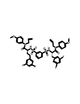 C=CCN(C(=O)[C@H](CCc1cc(F)cc(F)c1)NS(=O)(=O)c1cccc(S(=O)(=O)N[C@@H](Cc2cc(F)cc(F)c2)C(=O)N(CC=C)c2ccc(OC)cc2)c1)c1ccc(OC)cc1